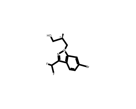 C[C@H](CO)Cn1nc(C(F)F)c2ccc(Br)cc21